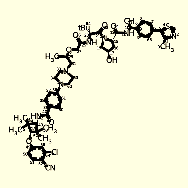 Cc1ncsc1-c1ccc(C(C)NC(=O)[C@@H]2C[C@@H](O)CN2C(=O)[C@@H](NC(=O)COC(C)CN2CCN(c3ccc(C(=O)N[C@H]4C(C)(C)[C@H](Oc5ccc(C#N)c(Cl)c5)C4(C)C)cc3)CC2)C(C)(C)C)cc1